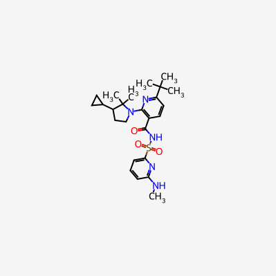 CNc1cccc(S(=O)(=O)NC(=O)c2ccc(C(C)(C)C)nc2N2CCC(C3CC3)C2(C)C)n1